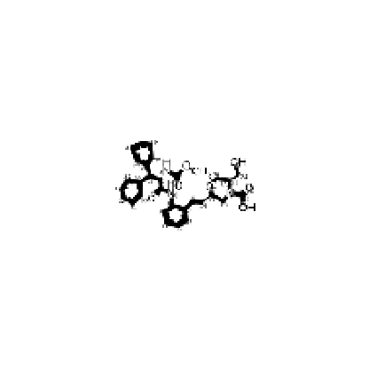 COC(=O)N[C@H](C(=O)Nc1ccccc1CC[C@@H]1CN(C(=O)O)[C@H](CO)CO1)C(c1ccccc1)c1ccccc1